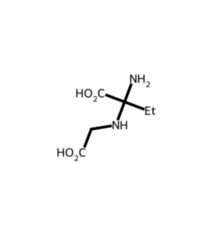 CCC(N)(NCC(=O)O)C(=O)O